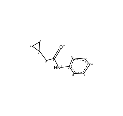 O=C(CC1CC1)Nc1ccccc1